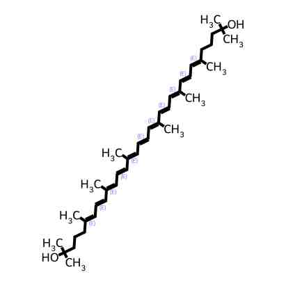 CC(/C=C/C=C(C)/C=C/C=C(\C)CCCC(C)(C)O)=C\C=C\C=C(C)\C=C\C=C(C)\C=C\C=C(/C)CCCC(C)(C)O